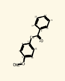 O=NOc1ccc(OC(=O)c2ccccc2)cc1